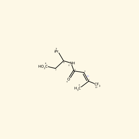 C/C(=C\C(=O)NC(CC(=O)O)C(C)C)C(F)(F)F